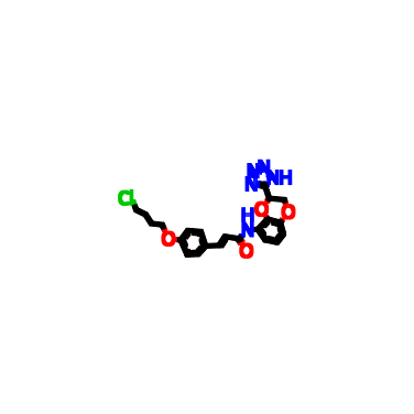 O=C(/C=C/c1ccc(OCCCCCl)cc1)Nc1cccc2c1OC(c1nnn[nH]1)CO2